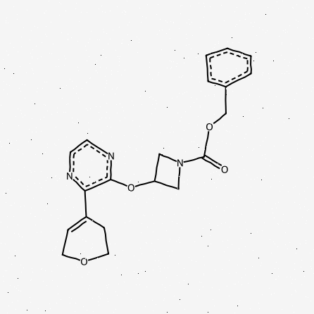 O=C(OCc1ccccc1)N1CC(Oc2nccnc2C2=CCOCC2)C1